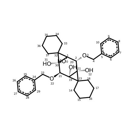 O[C@@]12[C@H](OCc3ccccc3)[C@@]3(O)C4(CCCCC4)[C@@]3(O)[C@@H](OCc3ccccc3)[C@@]1(O)C21CCCCC1